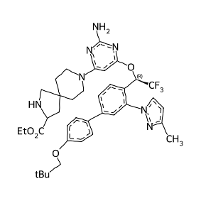 CCOC(=O)C1CC2(CCN(c3cc(O[C@H](c4ccc(-c5ccc(OCC(C)(C)C)cc5)cc4-n4ccc(C)n4)C(F)(F)F)nc(N)n3)CC2)CN1